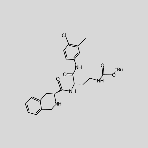 Cc1cc(NC(=O)[C@H](CCNC(=O)OC(C)(C)C)NC(=O)[C@@H]2Cc3ccccc3CN2)ccc1Cl